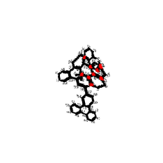 CC1(C)c2ccccc2C2(c3ccccc3Sc3ccccc32)c2cccc(-c3ccccc3-c3cc(-c4ccc5c6ccccc6c6ccccc6c5c4)nc(-c4ccccc4)n3)c21